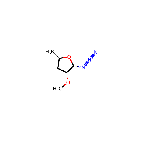 B[C@H]1C[C@@H](OC)[C@@H](N=[N+]=[N-])O1